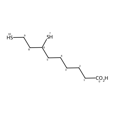 O=C(O)CCCCCC(S)CCS